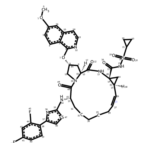 COc1ccc2c(O[C@@H]3C[C@H]4C(=O)N[C@]5(C(=O)NS(=O)(=O)C6CC6)C[C@H]5/C=C\CCCCC[C@H](Nc5nc(-c6ccc(F)cc6F)cs5)C(=O)N4C3)nccc2c1